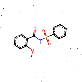 COc1ccccc1C(=O)NS(=O)(=O)c1cc[c]cc1